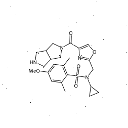 COc1cc(C)c(S(=O)(=O)N(Cc2nc(C(=O)N3CC4CNCC4C3)co2)C2CC2)c(C)c1